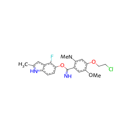 CNc1cc(OCCCl)c(OC)cc1C(=N)Oc1ccc2[nH]c(C)cc2c1F